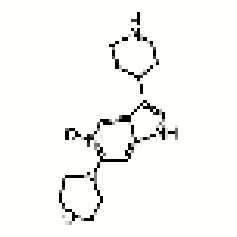 [O-][n+]1cc2c(C3CCNCC3)c[nH]c2cc1N1CCOCC1